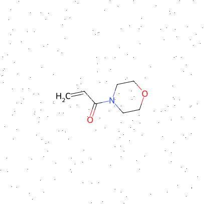 C=CC(=O)N1CCOCC1